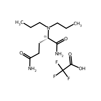 CCCN(CCC)[C@@H](CCC(N)=O)C(N)=O.O=C(O)C(F)(F)F